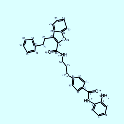 Nc1ccccc1NC(=O)c1ccc(OCCNC(=O)c2oc3ccccc3c2CCc2ccccc2)cc1